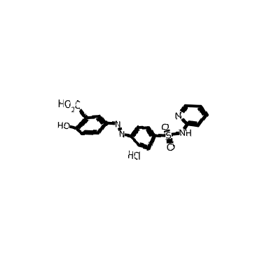 Cl.O=C(O)c1cc(N=Nc2ccc(S(=O)(=O)Nc3ccccn3)cc2)ccc1O